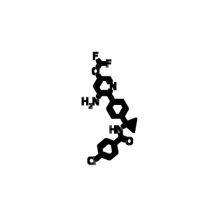 Nc1cc(OC(F)F)cnc1-c1ccc(C2(NC(=O)c3ccc(Cl)cc3)CC2)cc1